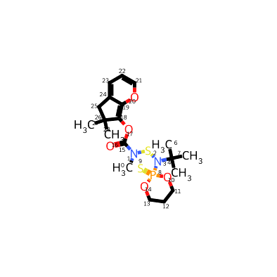 CN(SN(C(C)(C)C)P1(=S)OCCCO1)C(=O)OC1=C2OC=CC=C2CC1(C)C